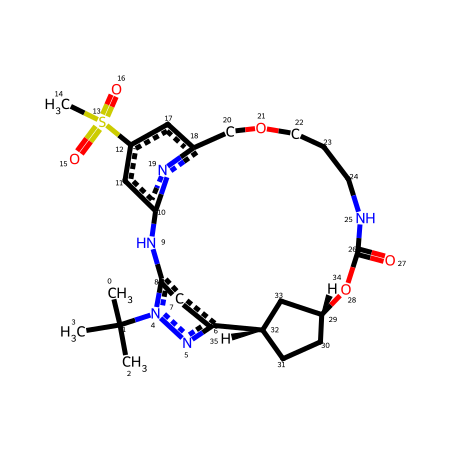 CC(C)(C)n1nc2cc1Nc1cc(S(C)(=O)=O)cc(n1)COCCCNC(=O)O[C@@H]1CC[C@H]2C1